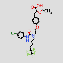 CCOC(Cc1ccc(OCCN(CCCCC(F)(F)C(F)(F)F)C(=O)Nc2ccc(Cl)cc2)cc1)C(=O)O